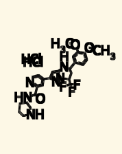 COc1ccc(C2CC(C(F)(F)F)n3nc(-c4ccnc(C(=O)NC5CCCNC5)c4)cc3N2)cc1OC.Cl.Cl